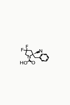 N#C[C@]1(Cc2ccccc2)CC(F)(F)CN1C(=O)O